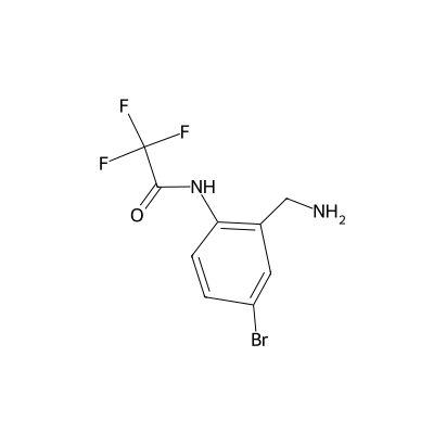 NCc1cc(Br)ccc1NC(=O)C(F)(F)F